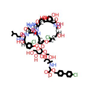 COC(=O)C(CNC(C)(C)C(O)C(C)OC(C)OC1C(Oc2c3cc4cc2Oc2ccc(cc2Cl)[C@@H](O)CC(=O)N[C@@H](C(=O)O)c2cc(O)cc(O)c2-c2cc(ccc2O)[C@H](C(N)=O)NC(=O)[C@@H]4NC(=O)[C@H](CC(N)=O)NC(=O)C(NC(=O)CCC(C)C)[C@H](O)c2ccc(c(Cl)c2)O3)OC(CO)C(O)C1O)OCc1ccc(-c2ccc(Cl)cc2)cc1